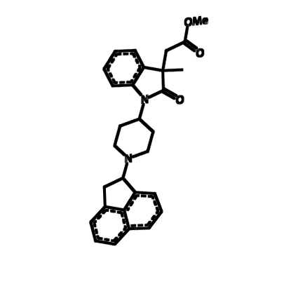 COC(=O)CC1(C)C(=O)N(C2CCN(C3Cc4cccc5cccc3c45)CC2)c2ccccc21